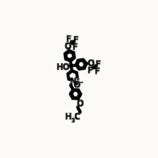 CCCOc1ccc(C[N+]2([O-])CCC(C(O)(c3ccc(OC(F)(F)F)cc3)c3ccc(OC(F)(F)F)cc3)CC2)cc1